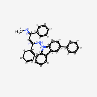 C/N=C(\C=C(/Nn1c2ccccc2c2cc(-c3ccccc3)ccc21)C1=CC=CCC1)c1ccccc1